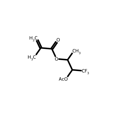 C=C(C)C(=O)OC(C)C(OC(C)=O)C(F)(F)F